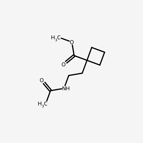 COC(=O)C1(CCNC(C)=O)CCC1